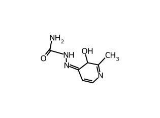 CC1=NC=CC(=NNC(N)=O)C1O